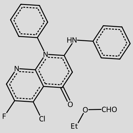 CCOC=O.O=c1cc(Nc2ccccc2)n(-c2ccccc2)c2ncc(F)c(Cl)c12